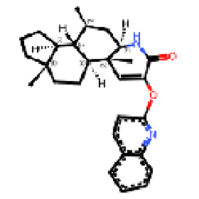 C[C@H]1C[C@H]2NC(=O)C(Oc3ccc4ccccc4n3)=C[C@]2(C)[C@H]2CC[C@]3(C)CCC[C@H]3[C@H]12